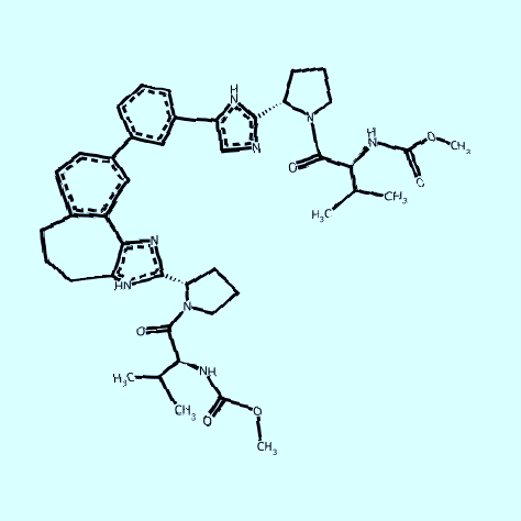 COC(=O)N[C@H](C(=O)N1CCC[C@H]1c1ncc(-c2cccc(-c3ccc4c(c3)-c3nc([C@@H]5CCCN5C(=O)[C@@H](NC(=O)OC)C(C)C)[nH]c3CCC4)c2)[nH]1)C(C)C